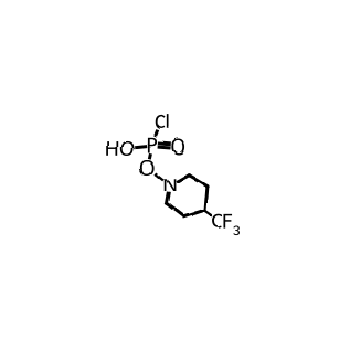 O=P(O)(Cl)ON1CCC(C(F)(F)F)CC1